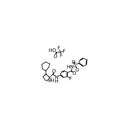 O=C(NS(=O)(=O)c1ccccc1)c1ccc(NC(=O)[C@H]2NCC[C@H]2C2CCCCC2)cc1F.O=C(O)C(F)(F)F